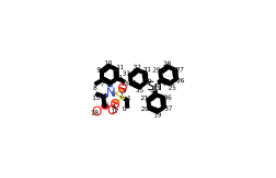 CCS(=O)(=O)N(c1c(C)cccc1C)C(C)C(=O)[O-].c1cc[c]([Sn+]([c]2ccccc2)[c]2ccccc2)cc1